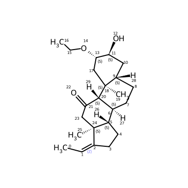 C/C=C1/CC[C@H]2[C@@H]3CC[C@H]4C[C@H](O)[C@@H](OCC)C[C@]4(C)[C@H]3C(=O)C[C@]12C